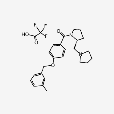 Cc1cccc(COc2ccc(C(=O)N3CCC[C@H]3CN3CCCC3)cc2)c1.O=C(O)C(F)(F)F